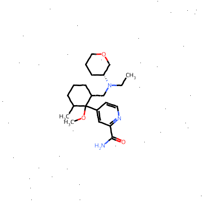 CCN(CC1CCCC(C)C1(OC)c1ccnc(C(N)=O)c1)[C@@H]1CCCOC1